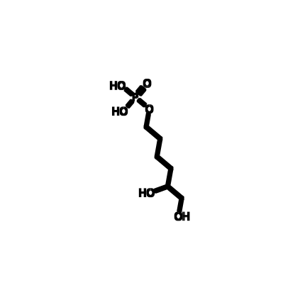 O=P(O)(O)OCCCCC(O)CO